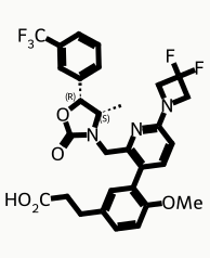 COc1ccc(CCC(=O)O)cc1-c1ccc(N2CC(F)(F)C2)nc1CN1C(=O)O[C@H](c2cccc(C(F)(F)F)c2)[C@@H]1C